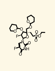 CCOS(=O)(=O)CC[C@]1(COC2CCCCO2)O[C@@H](n2cc(F)c(=O)[nH]c2=O)[C@@H](F)[C@@H]1OC1CCCCO1